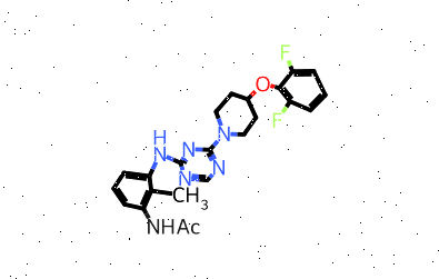 CC(=O)Nc1cccc(Nc2ncnc(N3CCC(Oc4c(F)cccc4F)CC3)n2)c1C